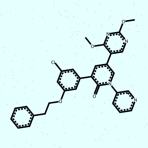 COc1ncc(-c2cc(-c3cc(Cl)cc(OCCc4ccccc4)c3)c(=O)n(-c3cccnc3)c2)c(OC)n1